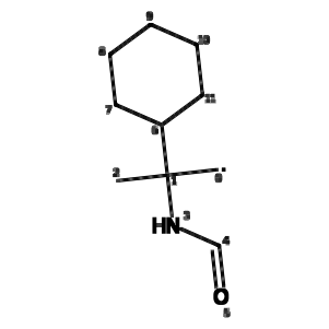 [CH2]C(C)(NC=O)C1CCCCC1